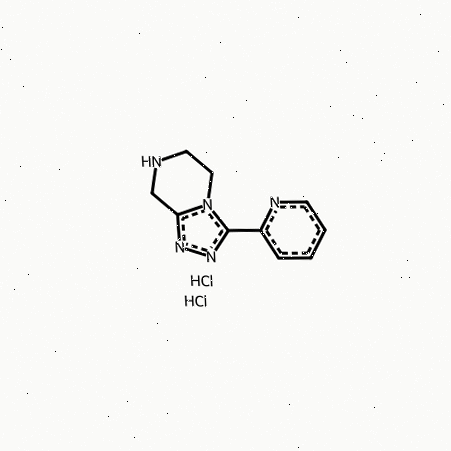 Cl.Cl.c1ccc(-c2nnc3n2CCNC3)nc1